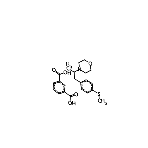 CSc1ccc(CC(C)N2CCOCC2)cc1.O=C(O)c1cccc(C(=O)O)c1